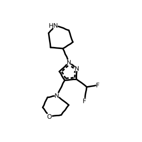 FC(F)c1nn(C2CCNCC2)cc1N1CCOCC1